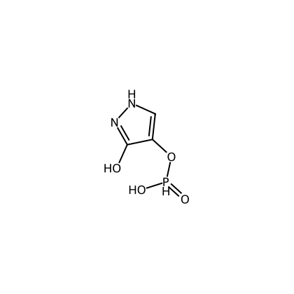 O=[PH](O)Oc1c[nH]nc1O